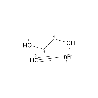 C#CCCC.OCCO